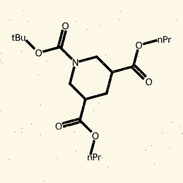 CCCOC(=O)C1CC(C(=O)OCCC)CN(C(=O)OC(C)(C)C)C1